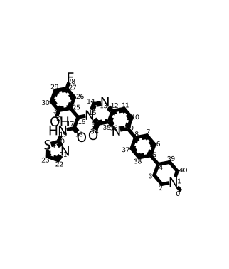 CN1CCC(c2ccc(-c3ccc4ncn(C(C(=O)Nc5nccs5)c5cc(F)ccc5O)c(=O)c4n3)cc2)CC1